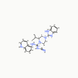 CC(C)C1CN(c2nc3ccccc3[nH]2)CCN1/C(=N\C#N)Nc1cccc2ncccc12